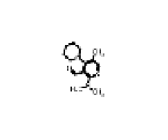 Cc1cnc(N(C)C)c(C=O)c1N1CCCCC1